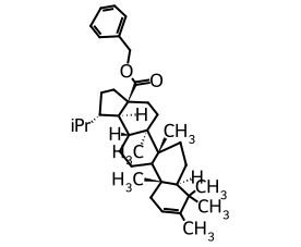 CC1=CC[C@]2(C)C3CC[C@@H]4[C@H]5[C@H](C(C)C)CC[C@]5(C(=O)OCc5ccccc5)CC[C@@]4(C)[C@]3(C)CC[C@H]2C1(C)C